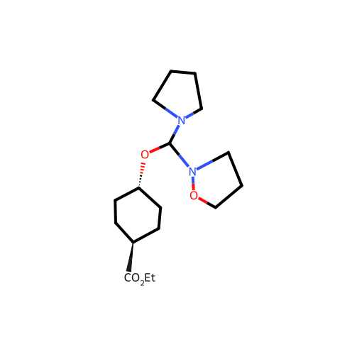 CCOC(=O)[C@H]1CC[C@H](OC(N2CCCC2)N2CCCO2)CC1